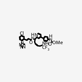 COC(=O)Nc1ccc2c(c1)NC(C(F)(F)F)CC=CCC(NC(=O)C=Cc1cc(Cl)ccc1-n1cnnn1)c1cc-2ccn1